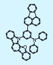 c1ccc(N(c2ccccc2)c2cc(-c3ccc4c5c(cccc35)-c3ccccc3-4)cc(-n3c4ccccc4c4ccc5c6ccccc6oc5c43)c2)cc1